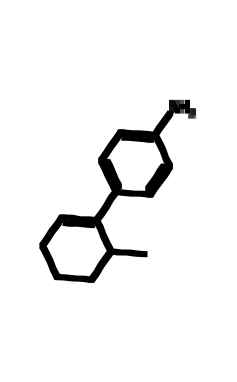 CC1CCCC=C1c1ccc(N)cc1